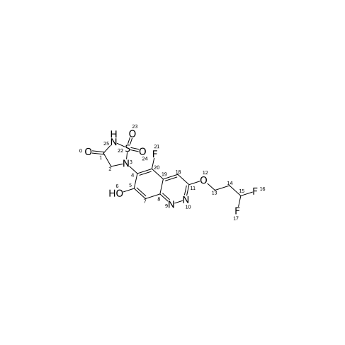 O=C1CN(c2c(O)cc3nnc(OCCC(F)F)cc3c2F)S(=O)(=O)N1